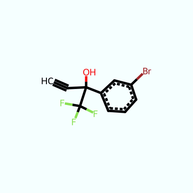 C#CC(O)(c1cccc(Br)c1)C(F)(F)F